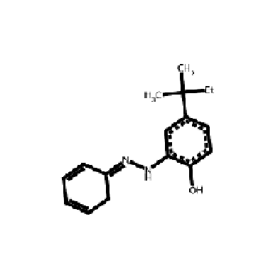 CCC(C)(C)c1ccc(O)c(N/N=C2/C=CC=CC2)c1